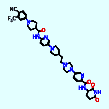 N#Cc1ccc(N2CCC(C(=O)Nc3ccc(N4CCC(CCN5CCN(c6ccc(C(=O)NC7CCC(=O)NC7=O)nc6)CC5)CC4)cn3)CC2)cc1C(F)(F)F